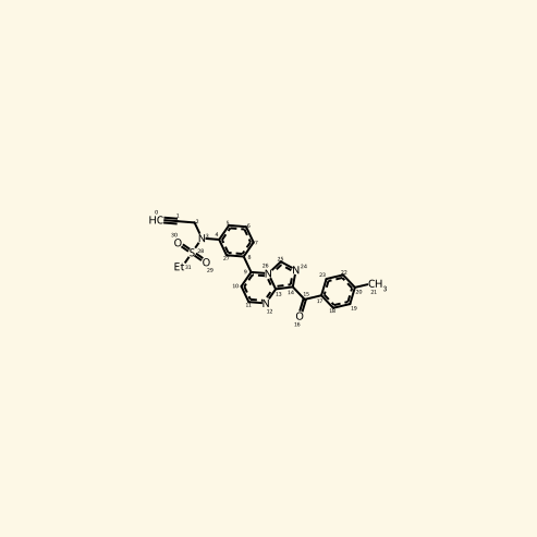 C#CCN(c1cccc(-c2ccnc3c(C(=O)c4ccc(C)cc4)ncn23)c1)S(=O)(=O)CC